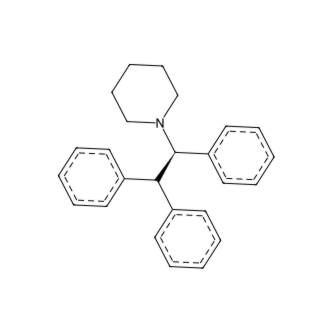 c1ccc(C(c2ccccc2)[C@H](c2ccccc2)N2CCCCC2)cc1